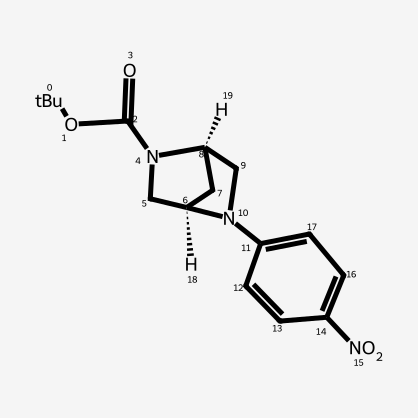 CC(C)(C)OC(=O)N1C[C@H]2C[C@@H]1CN2c1ccc([N+](=O)[O-])cc1